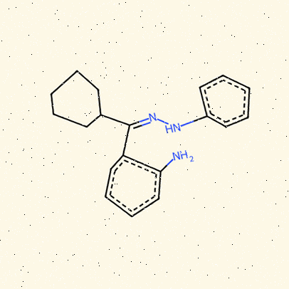 Nc1ccccc1/C(=N\Nc1ccccc1)C1CCCCC1